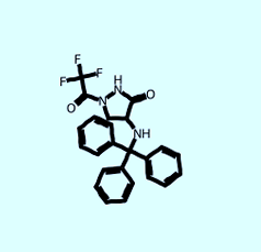 O=C1NN(C(=O)C(F)(F)F)CC1NC(c1ccccc1)(c1ccccc1)c1ccccc1